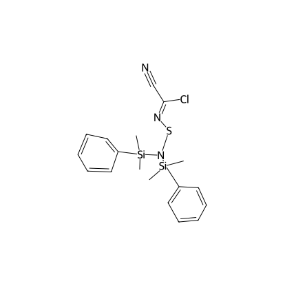 C[Si](C)(c1ccccc1)N(SN=C(Cl)C#N)[Si](C)(C)c1ccccc1